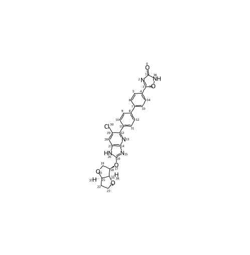 O=c1nc(-c2ccc(-c3ccc(-c4nc5nc(O[C@@H]6CO[C@@H]7CCO[C@@H]76)[nH]c5cc4Cl)cc3)cc2)o[nH]1